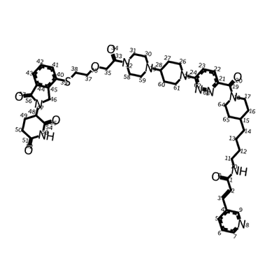 O=C(/C=C/c1cccnc1)NCCCCC1CCN(C(=O)c2ccc(N3CCC(N4CCN(C(=O)COCCSc5cccc6c5CN(C5CCC(=O)NC5=O)C6=O)CC4)CC3)nn2)CC1